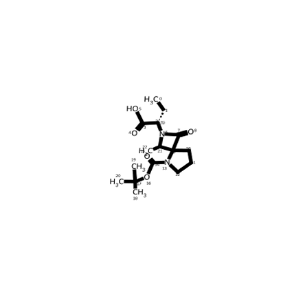 CC[C@@H](C(=O)O)N1C(=O)C2(CCCN2C(=O)OC(C)(C)C)C1C